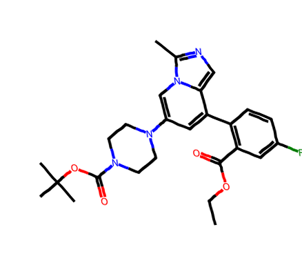 CCOC(=O)c1cc(F)ccc1-c1cc(N2CCN(C(=O)OC(C)(C)C)CC2)cn2c(C)ncc12